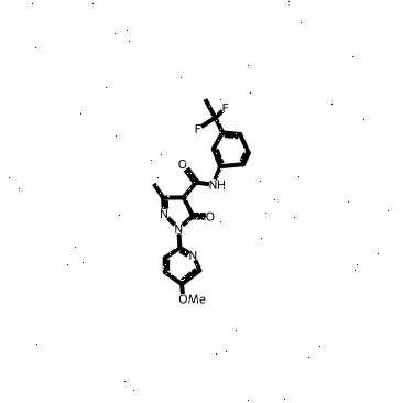 COc1ccc(N2N=C(C)C(C(=O)Nc3cccc(C(C)(F)F)c3)C2=O)nc1